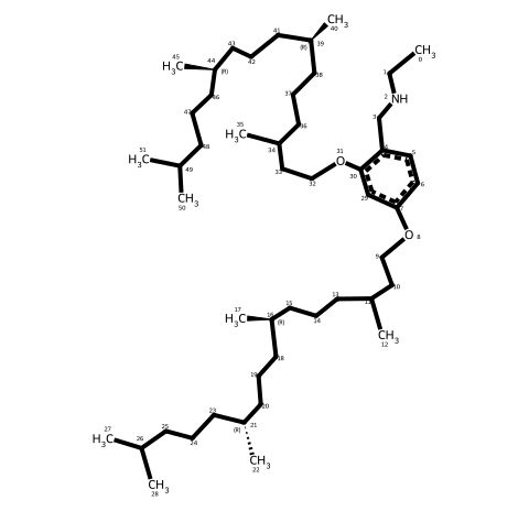 CCNCc1ccc(OCCC(C)CCC[C@H](C)CCC[C@H](C)CCCC(C)C)cc1OCCC(C)CCC[C@H](C)CCC[C@H](C)CCCC(C)C